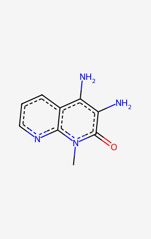 Cn1c(=O)c(N)c(N)c2cccnc21